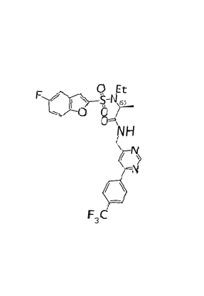 CCN([C@@H](C)C(=O)NCc1cc(-c2ccc(C(F)(F)F)cc2)ncn1)S(=O)(=O)c1cc2cc(F)ccc2o1